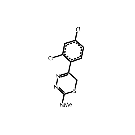 CNC1=NN=C(c2ccc(Cl)cc2Cl)CS1